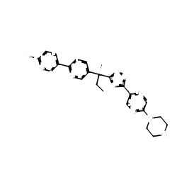 CC[C@](C)(c1ccc(-c2ccc(N)nc2)nc1)c1noc(-c2cnc(N3CCNCC3)cn2)n1